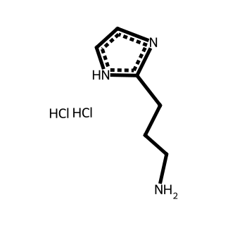 Cl.Cl.NCCCc1ncc[nH]1